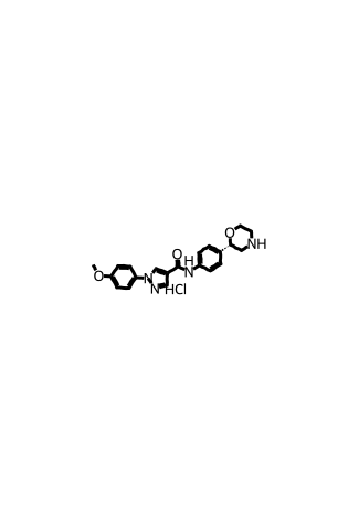 COc1ccc(-n2cc(C(=O)Nc3ccc([C@H]4CNCCO4)cc3)cn2)cc1.Cl